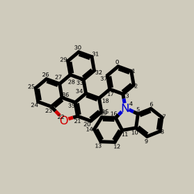 c1ccc(-n2c3ccccc3c3ccccc32)c(-c2ccc3oc4cccc5c6ccccc6c2c3c45)c1